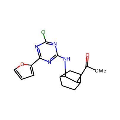 COC(=O)C1C2CCC(CC2)C1Nc1nc(Cl)nc(-c2ccco2)n1